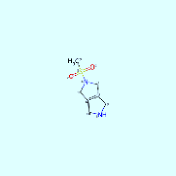 CS(=O)(=O)N1CC2=C(CNC2)C1